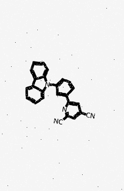 N#Cc1cc(C#N)nc(-c2cccc(-n3c4ccccc4c4ccccc43)c2)c1